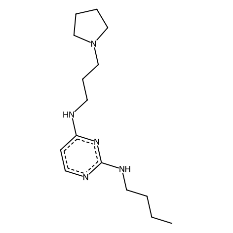 CCCCNc1nccc(NCCCN2CCCC2)n1